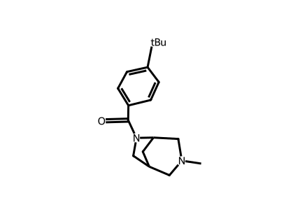 CN1CC2CC(C1)N(C(=O)c1ccc(C(C)(C)C)cc1)C2